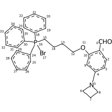 O=Cc1ccc(N2CCC2)cc1OCCCCP(Br)(c1ccccc1)(c1ccccc1)c1ccccc1